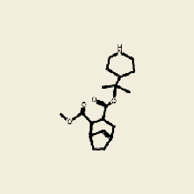 COC(=O)C1C2C=C(CC2)CC1C(=O)OC(C)(C)C1CCNCC1